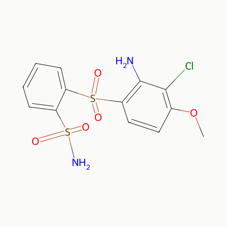 COc1ccc(S(=O)(=O)c2ccccc2S(N)(=O)=O)c(N)c1Cl